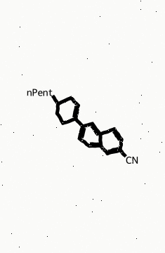 CCCCCC1CC=C(c2ccc3cc(C#N)ccc3c2)CC1